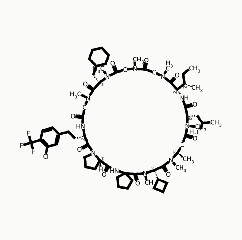 CC[C@H](C)[C@@H]1NC(=O)[C@H](CC(C)C)N(C)C(=O)C[C@@H](C)N(C)C(=O)[C@H](C2CCC2)N(C)C(=O)C2(CCCC2)NC(=O)[C@@H]2CCCN2C(=O)[C@H](CCc2ccc(C(F)(F)F)c(Cl)c2)NC(=O)CN(C)C(=O)[C@H](CC2CCCCC2)N(C)C(=O)CN(C)C(=O)CN(C)C1=O